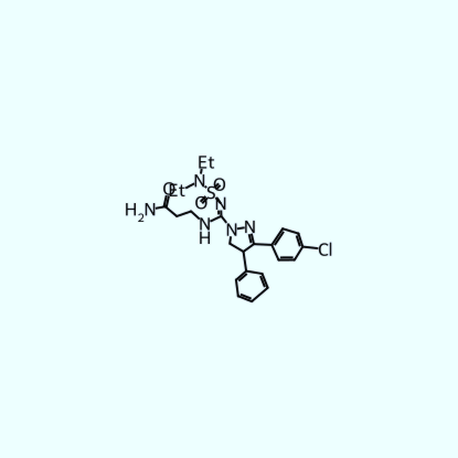 CCN(CC)S(=O)(=O)/N=C(\NCCC(N)=O)N1CC(c2ccccc2)C(c2ccc(Cl)cc2)=N1